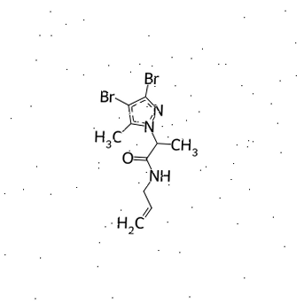 C=CCNC(=O)C(C)n1nc(Br)c(Br)c1C